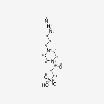 [N-]=[N+]=NCCCN1CCN(C(=O)CCS(=O)(=O)O)CC1